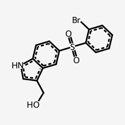 O=S(=O)(c1ccc2[nH]cc(CO)c2c1)c1ccccc1Br